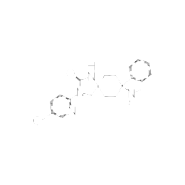 CN(C)[C@]1(c2ccccc2)CC[C@@]2(CC1)CN(c1ccc(Cl)cn1)C(=O)N2